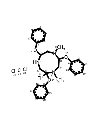 CN1CC(Oc2ccccc2)NC[C]([Ti+3])(Oc2ccccc2)N(C)CC1Oc1ccccc1.[Cl-].[Cl-].[Cl-]